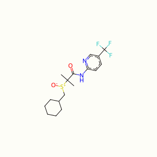 CC(C)(C(=O)Nc1ccc(C(F)(F)F)cn1)[S+]([O-])CC1CCCCC1